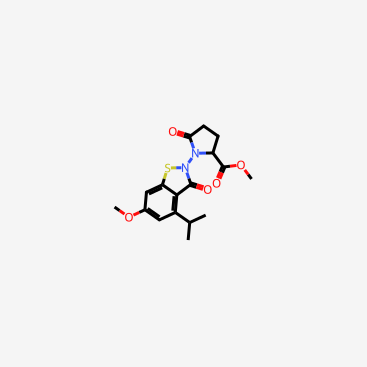 COC(=O)C1CCC(=O)N1n1sc2cc(OC)cc(C(C)C)c2c1=O